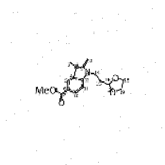 C=C1[C@H](C)c2cc(C(=O)OC)ccc2N1CCC1OCCO1